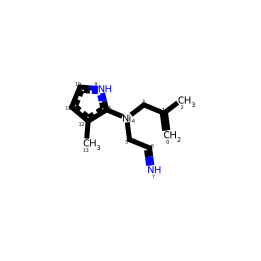 C=C(C)[CH2][Ni]([CH2]C=N)[c]1[nH]ccc1C